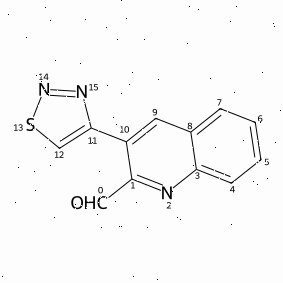 O=Cc1nc2ccccc2cc1-c1csnn1